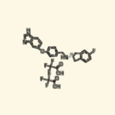 Fc1ccc2c(c1)C[C@@H](NCc1ccc(Oc3ccc4[nH]cnc4c3)cc1)C2.O=C(O)C(F)(F)F.O=C(O)C(F)(F)F